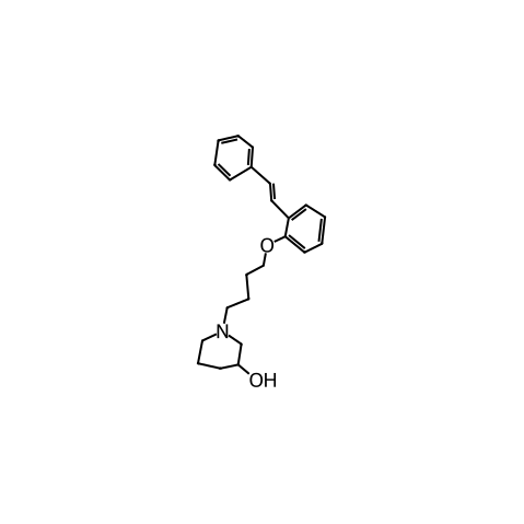 OC1CCCN(CCCCOc2ccccc2/C=C/c2ccccc2)C1